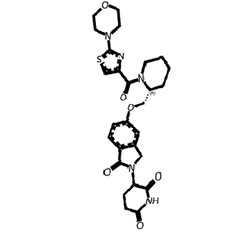 O=C1CCC(N2Cc3cc(OC[C@H]4CCCCN4C(=O)c4csc(N5CCOCC5)n4)ccc3C2=O)C(=O)N1